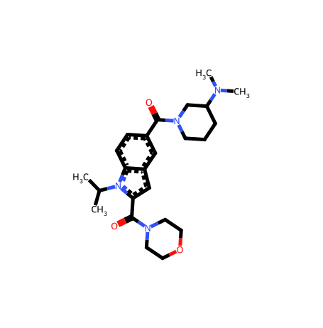 CC(C)n1c(C(=O)N2CCOCC2)cc2cc(C(=O)N3CCCC(N(C)C)C3)ccc21